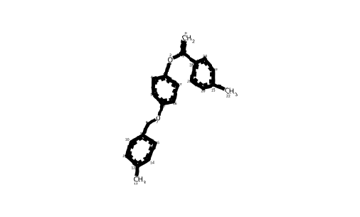 C=C(Oc1ccc(OCc2ccc(C)cc2)cc1)c1ccc(C)cc1